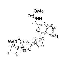 CNC[C@@H](NC(=O)N1CCC[C@@H](C(OCCNC(=O)OC)c2cc(Cl)ccc2C)C1)[C@H](O)C1CCCC1